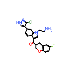 NCCn1cc(C(=O)C2COc3ccc(F)cc3C2)c2ccc(-c3c[nH]nc3Cl)cc21